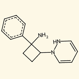 NC1(c2ccccc2)CCC1N1C=CC=CN1